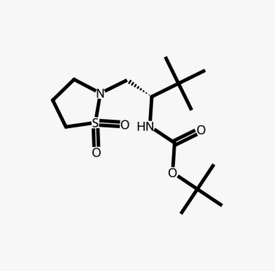 CC(C)(C)OC(=O)N[C@H](CN1CCCS1(=O)=O)C(C)(C)C